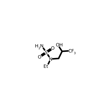 CCN(CC(O)C(F)(F)F)S(N)(=O)=O